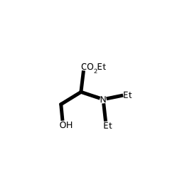 CCOC(=O)C(CO)N(CC)CC